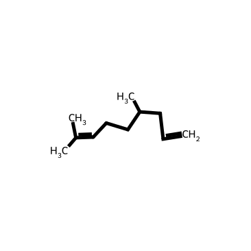 C=CCC(C)CCC=C(C)C